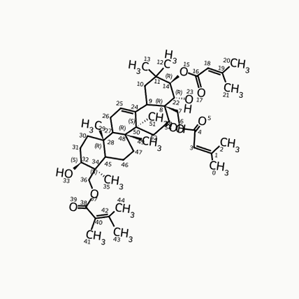 CC(C)=CC(=O)OC[C@@]12C(CC(C)(C)[C@@H](OC(=O)C=C(C)C)[C@@H]1O)C1=CCC3[C@@]4(C)CC[C@H](O)[C@](C)(COC(=O)C(C)=C(C)C)C4CC[C@@]3(C)[C@]1(C)C[C@H]2O